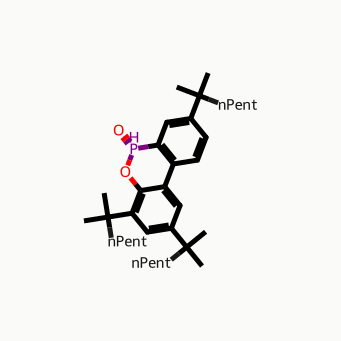 CCCCCC(C)(C)c1ccc2c(c1)[PH](=O)Oc1c-2cc(C(C)(C)CCCCC)cc1C(C)(C)CCCCC